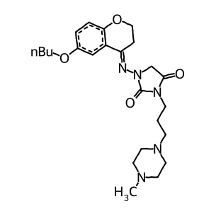 CCCCOc1ccc2c(c1)/C(=N/N1CC(=O)N(CCCN3CCN(C)CC3)C1=O)CCO2